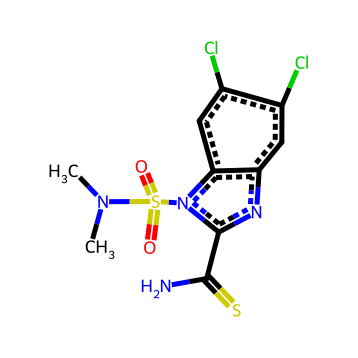 CN(C)S(=O)(=O)n1c(C(N)=S)nc2cc(Cl)c(Cl)cc21